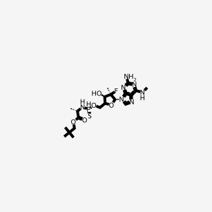 CNc1nc(N)nc2c1ncn2[C@@H]1OC(CO[PH](=S)N[C@@H](C)C(=O)OCC(C)(C)C)[C@@H](O)[C@@]1(C)F